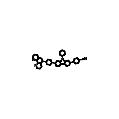 N#Cc1ccc(-c2ccc3c4ccc(-c5ccc(-c6cc7cccnc7c7ncccc67)cc5)cc4n(-c4ccccc4)c3c2)cc1